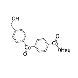 CCCCC[CH2][Co](=[O])[c]1cc[c]([Co](=[O])[c]2ccc(CO)cc2)cc1